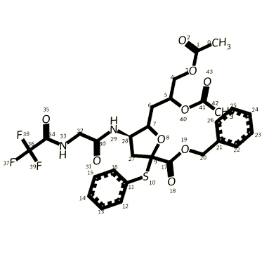 CC(=O)OCC(CC1OC(Sc2ccccc2)(C(=O)OCc2ccccc2)C[C@H]1NC(=O)CNC(=O)C(F)(F)F)OC(C)=O